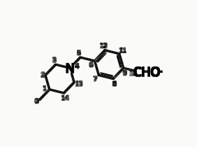 CC1CCN(Cc2ccc([C]=O)cc2)CC1